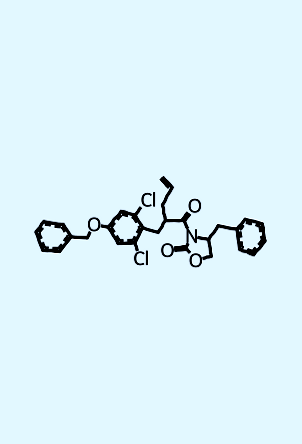 C=CCC(Cc1c(Cl)cc(OCc2ccccc2)cc1Cl)C(=O)N1C(=O)OCC1Cc1ccccc1